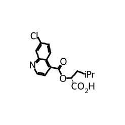 CC(C)C[C@@H](OC(=O)c1ccnc2cc(Cl)ccc12)C(=O)O